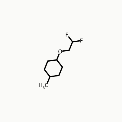 CC1CCC(OCC(F)F)CC1